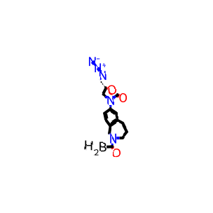 BC(=O)N1CCCc2cc(N3C[C@H](CN=[N+]=[N-])OC3=O)ccc2C1